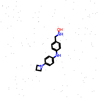 ONCc1ccc(Nc2ccc(N3CCC3)cc2)cc1